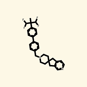 CC(c1ccc(-c2ccc(CN3CCC4(CC3)Cc3ccncc3C4)cc2)cc1)(C(F)F)C(F)F